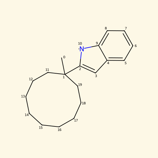 CC1(C2=Cc3ccccc3[N]2)CCCCCCCCC1